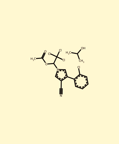 CC(=O)OC(n1cc(C#N)c(-c2ccccc2Cl)c1)C(Cl)(Cl)Cl.CC(C)O